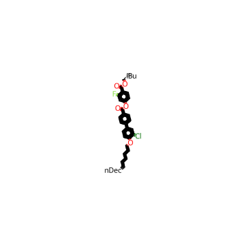 CCCCCCCCCCCCCCCCOc1ccc(-c2ccc(C(=O)Oc3ccc(C(=O)OC[C@@H](C)CC)c(F)c3)cc2)cc1Cl